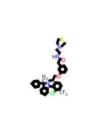 CC(c1ccccc1)(c1ccccc1)N(CCCOc1cccc(CC(=O)NCCN2CCSCC2)c1)Cc1cccc(C(F)(F)F)c1Cl